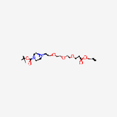 C=CCOC(=O)CCOCCOCCOCCN1CCN(C(=O)OC(C)(C)C)CC1